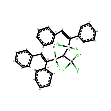 Cl[Si](Cl)(Cl)C([Si](Cl)(Cl)C(=Cc1ccccc1)c1ccccc1)[Si](Cl)(Cl)C(=Cc1ccccc1)c1ccccc1